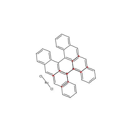 [Cl][Ru][Cl].c1ccc(P(c2ccccc2)c2ccc3ccccc3c2-c2c(P(c3ccccc3)c3ccccc3)ccc3ccccc23)cc1